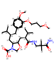 COCCCOc1cc(C[C@@H](CC2C(C[C@H](C(=O)NCC(C)(C)C(N)=O)C(C)C)OCN2C(=O)O)C(C)C)ccc1OC